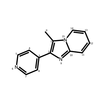 Cc1c(-c2ccncc2)nc2ccccn12